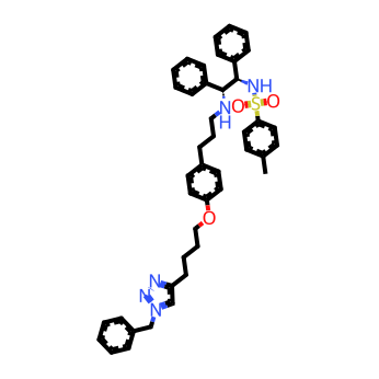 Cc1ccc(S(=O)(=O)N[C@H](c2ccccc2)[C@H](NCCCc2ccc(OCCCCc3cn(Cc4ccccc4)nn3)cc2)c2ccccc2)cc1